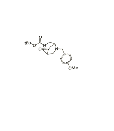 COc1ccc(CN2CC3CN(C(=O)OC(C)(C)C)CC2CC3=O)cc1